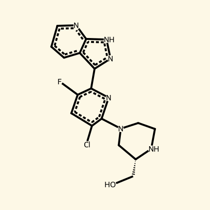 OC[C@@H]1CN(c2nc(-c3n[nH]c4ncccc34)c(F)cc2Cl)CCN1